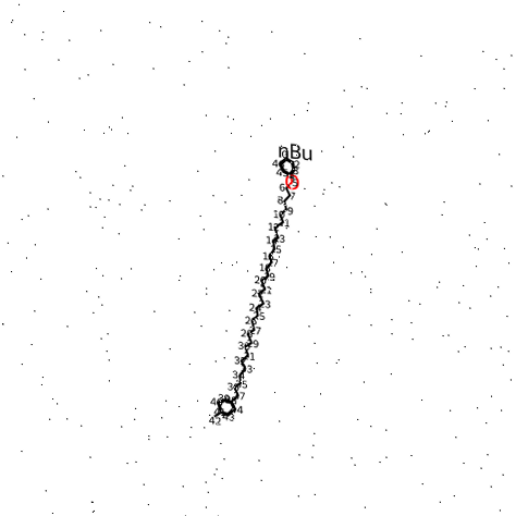 CCCCc1ccc(OCCCCCCCCCCCCCC[CH]CCCCCCCCCCCCCCCCCc2ccc(C)cc2)cc1